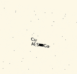 [Al].[Cu].[S]=[Ga]